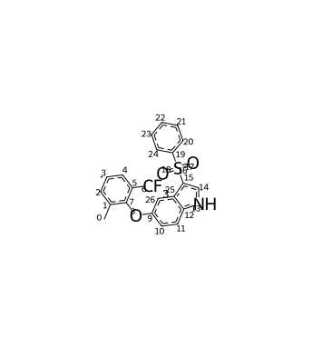 Cc1c[c]cc(C(F)(F)F)c1Oc1ccc2[nH]cc(S(=O)(=O)c3ccccc3)c2c1